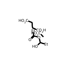 CC(=O)O.CCC(=O)OC(O)CC.O=C(O)CCC(=O)O